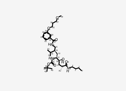 CCCCNC(=O)[C@H](C)C[C@H](O)[C@H](C[C@H](CNC(=O)c1cccc(OCCCOC)c1)C(C)C)NC(=O)OC(C)(C)C